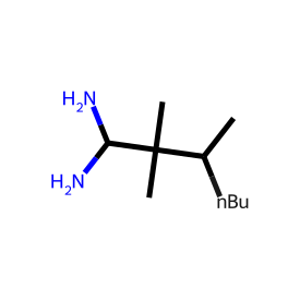 CCCCC(C)C(C)(C)C(N)N